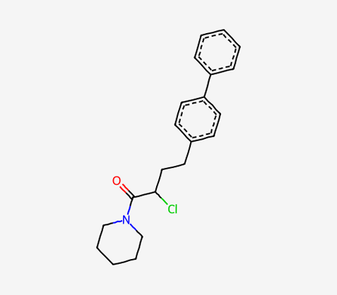 O=C(C(Cl)CCc1ccc(-c2ccccc2)cc1)N1CCCCC1